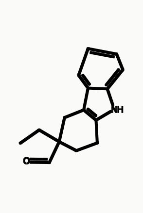 CCC1(C=O)CCc2[nH]c3ccccc3c2C1